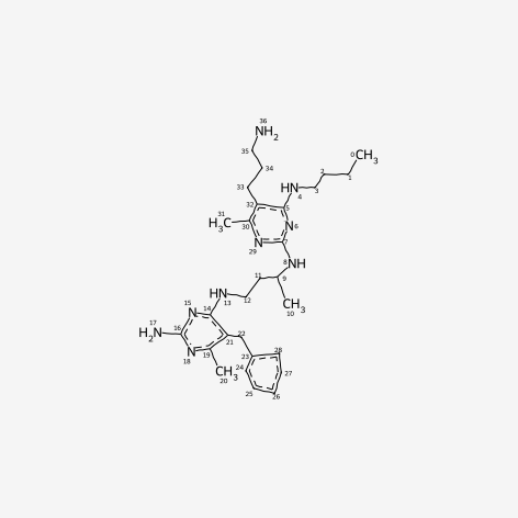 CCCCNc1nc(NC(C)CCNc2nc(N)nc(C)c2Cc2ccccc2)nc(C)c1CCCN